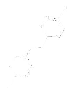 Clc1ccc(SSc2ccc(Cl)nn2)nn1